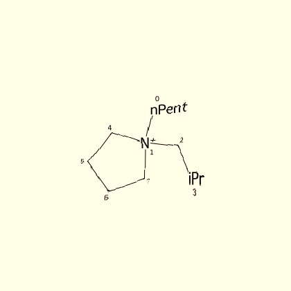 CCCCC[N+]1(CC(C)C)CCCC1